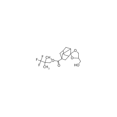 CC(C)(COC(=O)C12CC3CC(C1)C1(OCC(CO)O1)C(C3)C2)C(F)(F)F